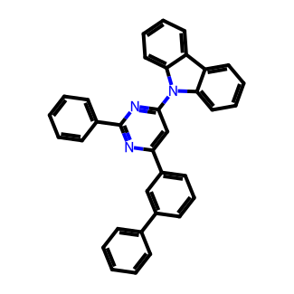 c1ccc(-c2cccc(-c3cc(-n4c5ccccc5c5ccccc54)nc(-c4ccccc4)n3)c2)cc1